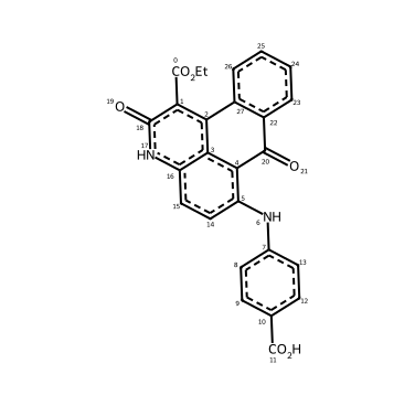 CCOC(=O)c1c2c3c(c(Nc4ccc(C(=O)O)cc4)ccc3[nH]c1=O)C(=O)c1ccccc1-2